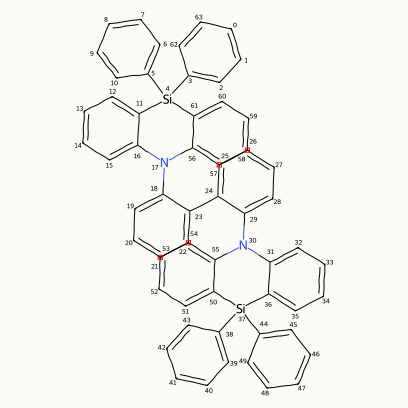 c1ccc([Si]2(c3ccccc3)c3ccccc3N(c3ccccc3-c3ccccc3N3c4ccccc4[Si](c4ccccc4)(c4ccccc4)c4ccccc43)c3ccccc32)cc1